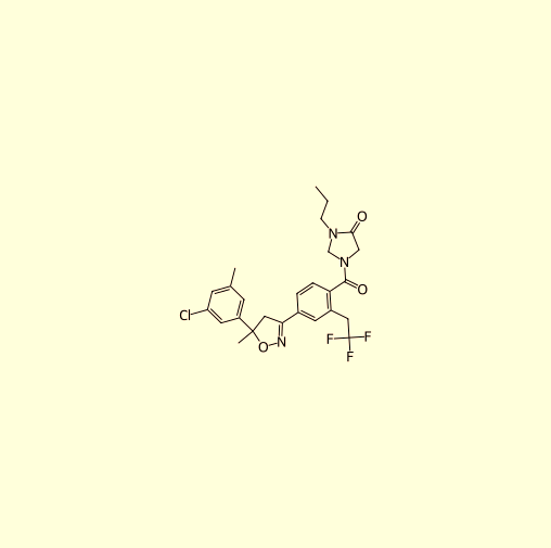 CCCN1CN(C(=O)c2ccc(C3=NOC(C)(c4cc(C)cc(Cl)c4)C3)cc2CC(F)(F)F)CC1=O